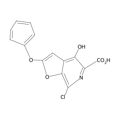 O=C(O)c1nc(Cl)c2oc(Oc3ccccc3)cc2c1O